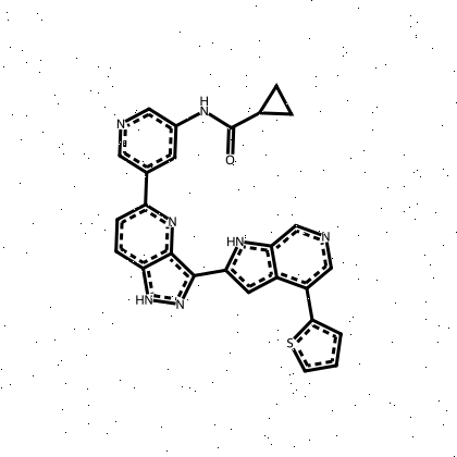 O=C(Nc1cncc(-c2ccc3[nH]nc(-c4cc5c(-c6cccs6)cncc5[nH]4)c3n2)c1)C1CC1